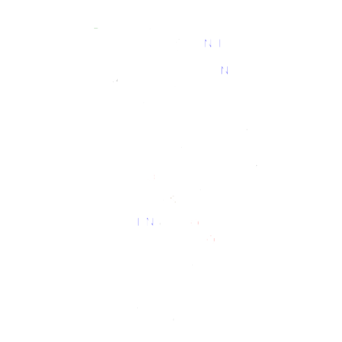 COc1ccccc1NS(=O)(=O)c1cccc(-c2n[nH]c3cc(F)ccc23)c1